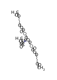 C=CC(=O)OCCCCCCOc1ccc(OC(=O)C2CCC(COc3ccc(OCC4CCC(C(=O)Oc5ccc(OCCCCCCOC(=O)C=C)cc5)CC4)c(/N=C/N(C(=O)C=C)c4nc5ccccc5s4)c3)CC2)cc1